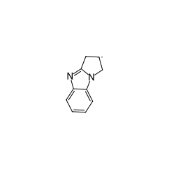 [CH]1Cc2nc3ccccc3n2C1